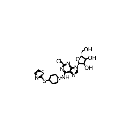 OC[C@H]1O[C@@H](n2cnc3c(NN4CCC(Sc5nccs5)CC4)nc(Cl)nc32)C(O)C1O